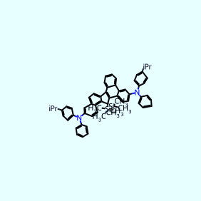 CC(C)c1ccc(N(c2ccccc2)c2ccc3c4c(ccc3c2)-c2c(c3ccc(N(c5ccccc5)c5ccc(C(C)C)cc5)cc3c3ccccc23)C4([Si](C)(C)C)[Si](C)(C)C)cc1